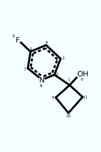 OC1(c2ccc(F)cn2)CCC1